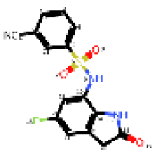 N#Cc1cccc(S(=O)(=O)Nc2cc(F)cc3c2NC(=O)C3)c1